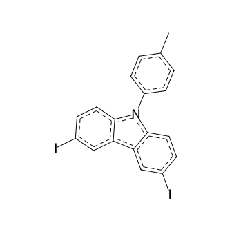 Cc1ccc(-n2c3ccc(I)cc3c3cc(I)ccc32)cc1